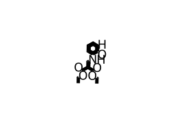 CCOC(=O)C(=CNc1ccccc1O)C(=O)OCC